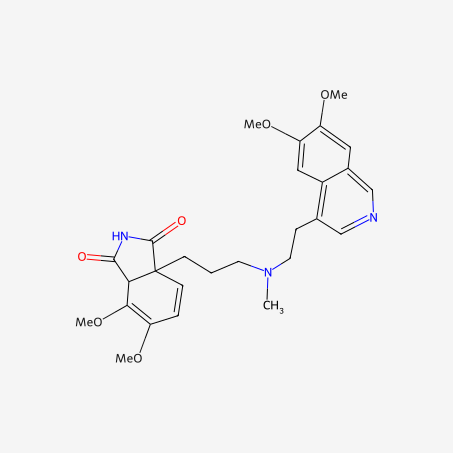 COC1=C(OC)C2C(=O)NC(=O)C2(CCCN(C)CCc2cncc3cc(OC)c(OC)cc23)C=C1